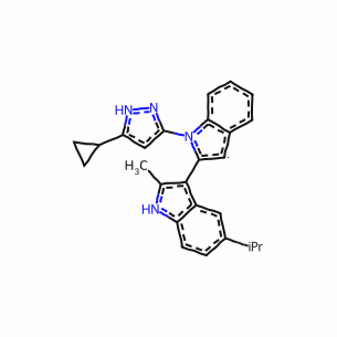 Cc1[nH]c2ccc(C(C)C)cc2c1-c1[c]c2ccccc2n1-c1cc(C2CC2)[nH]n1